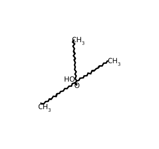 CCCCCC=CCC=CCCCCCCCCC(=O)C(CCCCCCCC=CCC=CCCCCC)C(O)CCCCCCCC=CCC=CCCCCC